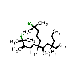 C=CC(C)(CCC)CC(=C)C(C)(CCCC(C)(C)Br)CCC(=C)C(C)(C)Br